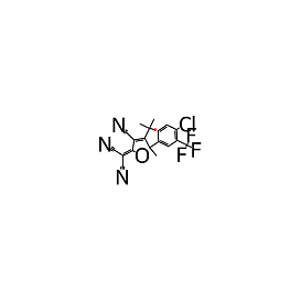 CC(C)(C)C1=C(C#N)C(=C(C#N)C#N)OC1(C)c1ccc(Cl)c(C(F)(F)F)c1